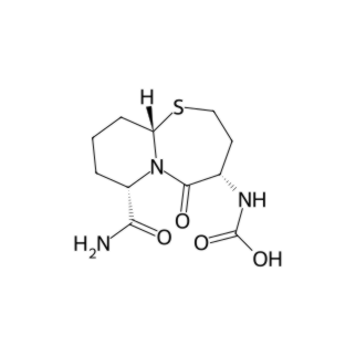 NC(=O)[C@@H]1CCC[C@@H]2SCC[C@H](NC(=O)O)C(=O)N21